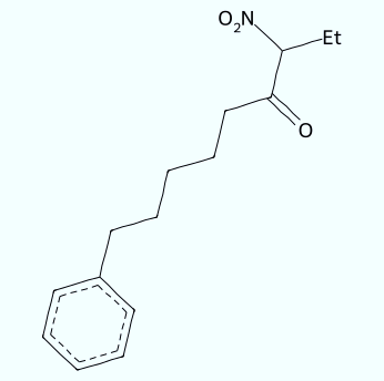 CCC(C(=O)CCCCCc1ccccc1)[N+](=O)[O-]